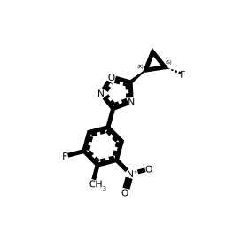 Cc1c(F)cc(-c2noc([C@H]3C[C@@H]3F)n2)cc1[N+](=O)[O-]